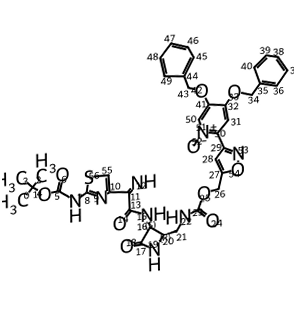 CC(C)(C)OC(=O)Nc1nc(C(=N)C(=O)N[C@@H]2C(=O)N[C@@H]2CNC(=O)OCc2cc(-c3cc(OCc4ccccc4)c(OCc4ccccc4)c[n+]3[O-])no2)cs1